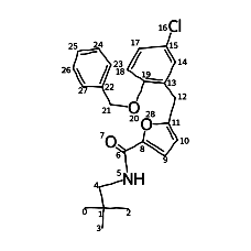 CC(C)(C)CNC(=O)c1ccc(Cc2cc(Cl)ccc2OCc2ccccc2)o1